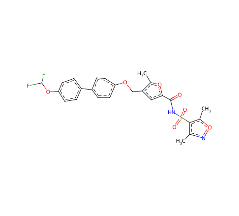 Cc1noc(C)c1S(=O)(=O)NC(=O)c1cc(COc2ccc(-c3ccc(OC(F)F)cc3)cc2)c(C)o1